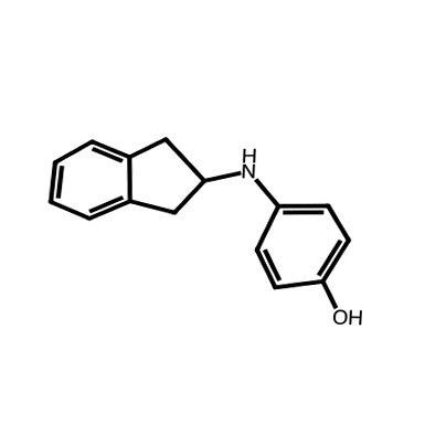 Oc1ccc(NC2Cc3ccccc3C2)cc1